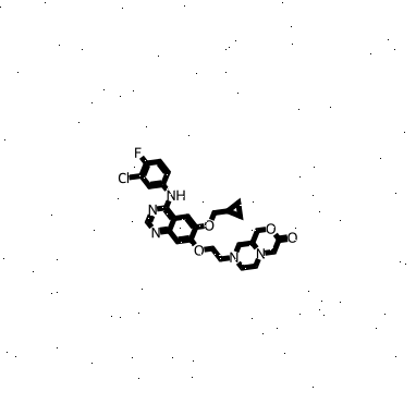 O=C1CN2CCN(CCOc3cc4ncnc(Nc5ccc(F)c(Cl)c5)c4cc3OCC3CC3)CC2CO1